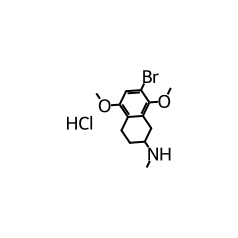 CNC1CCc2c(OC)cc(Br)c(OC)c2C1.Cl